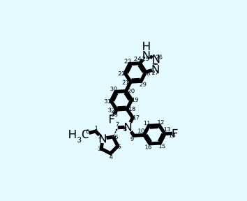 CCN1CCC[C@H]1CN(Cc1ccc(F)cc1)Cc1cc(-c2ccc3[nH]nnc3c2)ccc1F